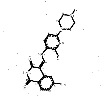 CN1CCN(c2ccc(NC=C3C(=O)NC(=O)c4ccc(I)cc43)c(F)n2)CC1